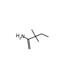 C=C(N)C(C)(C)CC